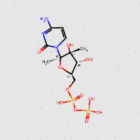 C[C@@]1(n2ccc(N)nc2=O)O[C@H](COP(=O)(O)OP(=O)(O)O)[C@@H](O)[C@@]1(C)O